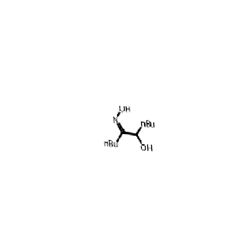 CCCCC(=NO)C(O)CCCC